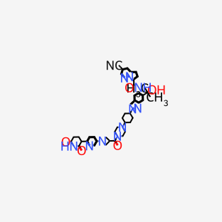 CC(C)(O)c1cc2nn(C3CCC(N4CCN(C(=O)C5CN(c6ccc(C7CCC(=O)NC7=O)nc6)C5)CC4)CC3)cc2cc1NC(=O)c1ccc2cc(C#N)cnn12